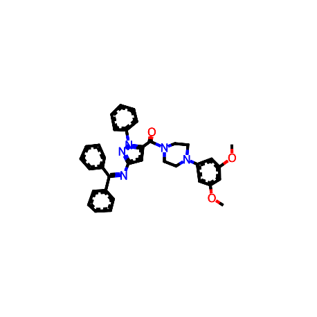 COc1cc(OC)cc(N2CCN(C(=O)c3cc(N=C(c4ccccc4)c4ccccc4)nn3-c3ccccc3)CC2)c1